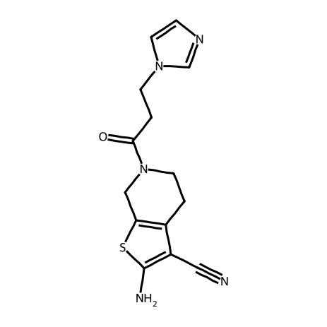 N#Cc1c(N)sc2c1CCN(C(=O)CCn1ccnc1)C2